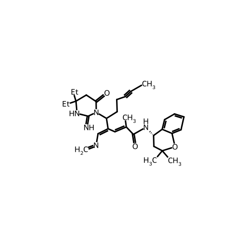 C=N/C=C(\C=C(/C)C(=O)N[C@H]1CC(C)(C)Oc2ccccc21)C(CCC#CC)N1C(=N)NC(CC)(CC)CC1=O